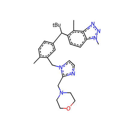 Cc1ccc(C(c2ccc3c(nnn3C)c2C)C(C)(C)C)cc1Cn1ccnc1CN1CCOCC1